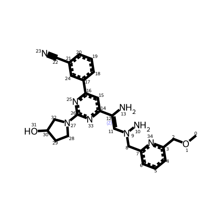 COCc1cccc(CN(N)/C=C(\N)c2cc(-c3cccc(C#N)c3)nc(N3CCC(O)C3)n2)n1